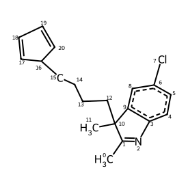 CC1=Nc2ccc(Cl)cc2C1(C)CCCCC1C=CC=C1